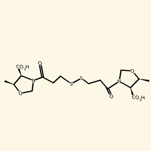 C[C@@H]1OCN(C(=O)CCSSCCC(=O)N2CO[C@@H](C)[C@H]2C(=O)O)[C@@H]1C(=O)O